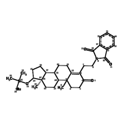 CC12CCC(=O)C(CCN3C(=O)c4ccccc4C3=O)=C1CCC1C2CC[C@@]2(C)C(O[Si](C)(C)C(C)(C)C)CCC12